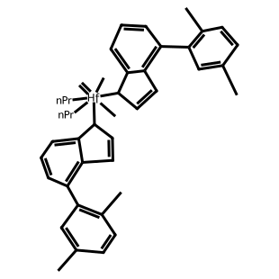 [CH2]=[Hf]([CH3])([CH3])([CH2]CC)([CH2]CC)([CH]1C=Cc2c(-c3cc(C)ccc3C)cccc21)[CH]1C=Cc2c(-c3cc(C)ccc3C)cccc21